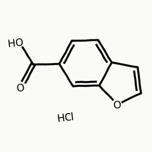 Cl.O=C(O)c1ccc2ccoc2c1